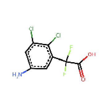 Nc1cc(Cl)c(Cl)c(C(F)(F)C(=O)O)c1